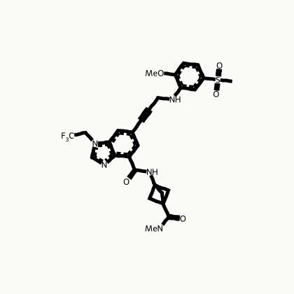 CNC(=O)C12CC(NC(=O)c3cc(C#CCNc4cc(S(C)(=O)=O)ccc4OC)cc4c3ncn4CC(F)(F)F)(C1)C2